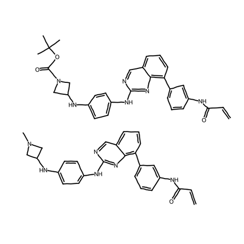 C=CC(=O)Nc1cccc(-c2cccc3cnc(Nc4ccc(NC5CN(C(=O)OC(C)(C)C)C5)cc4)nc23)c1.C=CC(=O)Nc1cccc(-c2cccc3cnc(Nc4ccc(NC5CN(C)C5)cc4)nc23)c1